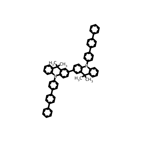 CC1(C)c2ccccc2N(c2ccc(-c3ccc(-c4ccccc4)cc3)cc2)c2ccc(-c3ccc4c(c3)C(C)(C)c3ccccc3N4c3ccc(-c4ccc(-c5ccccc5)cc4)cc3)cc21